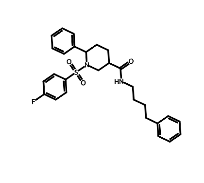 O=C(NCCCCc1ccccc1)C1CCC(c2ccccc2)N(S(=O)(=O)c2ccc(F)cc2)C1